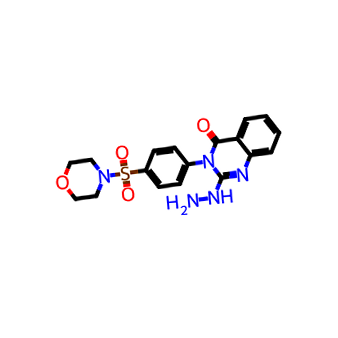 NNc1nc2ccccc2c(=O)n1-c1ccc(S(=O)(=O)N2CCOCC2)cc1